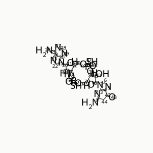 NC1=Nc2c(ncn2[C@@H]2O[C@@H]3CO[P@@](=O)(S)O[C@H]4[C@@H](F)[C@H](n5cnc6c(N)ncnc65)O[C@@H]4CO[P@@](=O)(S)O[C@H]3[C@H]2O)C(=O)C1